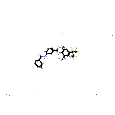 Cc1cc(C(F)(C(F)(F)F)C(F)(F)Br)cc(C)c1NC(=O)c1cccc(NC(=O)c2ccccc2)c1